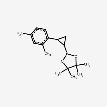 Cc1ccc(C2CC2B2OC(C)(C)C(C)(C)O2)c(C)c1